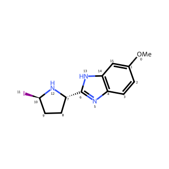 COc1ccc2nc([C@@H]3CC[C@@H](I)N3)[nH]c2c1